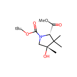 COC(=O)[C@H]1N(C(=O)OC(C)(C)C)C[C@@](C)(O)C1(C)C